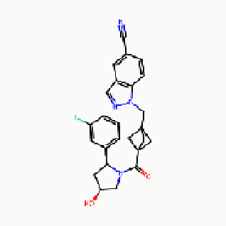 N#Cc1ccc2c(cnn2CC23CC(C(=O)N4C[C@@H](O)C[C@H]4c4cccc(F)c4)(C2)C3)c1